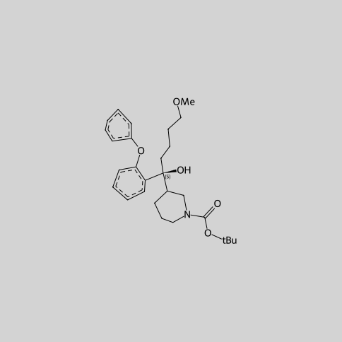 COCCCC[C@@](O)(c1ccccc1Oc1ccccc1)C1CCCN(C(=O)OC(C)(C)C)C1